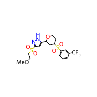 COCCS(=O)(=O)c1cc(C2CC(S(=O)(=O)c3cccc(C(F)(F)F)c3)CCO2)[nH]n1